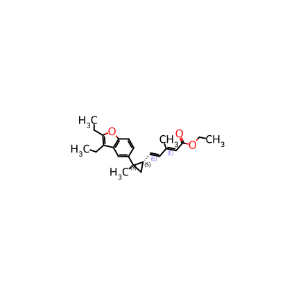 CCOC(=O)/C=C(C)/C=C/[C@@H]1C[C@]1(C)c1ccc2oc(CC)c(CC)c2c1